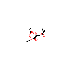 C=C(C)C(=O)OCC(OC(=O)C(=C)C)C(=O)OCCCC